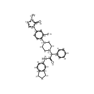 CC(C)n1ncn(-c2ccc(N3CCN(C(C(=O)Nc4ccc5c(c4)CCC5)c4ccccc4)CC3)c(F)c2)c1=O